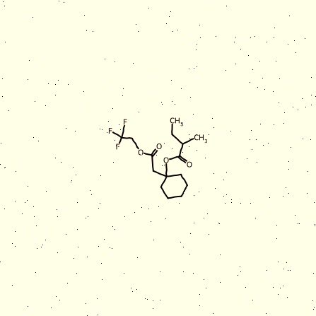 CCC(C)C(=O)OC1(CC(=O)OCC(F)(F)F)CCCCC1